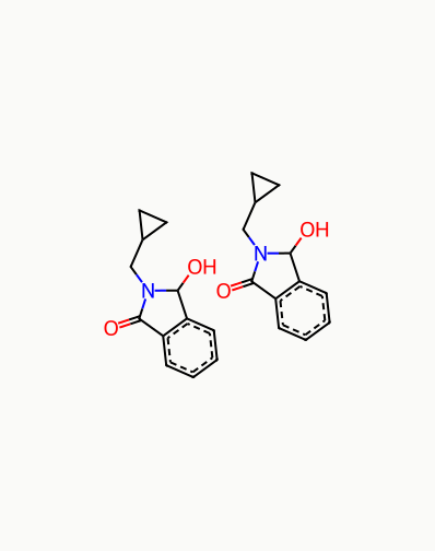 O=C1c2ccccc2C(O)N1CC1CC1.O=C1c2ccccc2C(O)N1CC1CC1